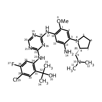 COc1cc(N2CCC[C@@H]2CN(C)C)c(N)cc1Nc1ncnc(Nc2cc(F)c(Cl)cc2C(C)(C)O)n1